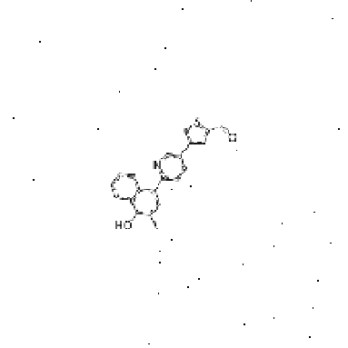 Cc1cc(-c2ccc(-c3csc(C=O)c3)cn2)c2ccccc2c1O